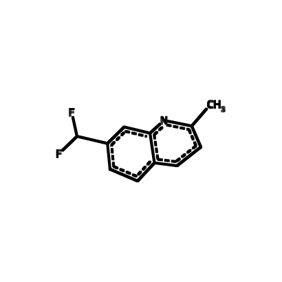 Cc1ccc2ccc(C(F)F)cc2n1